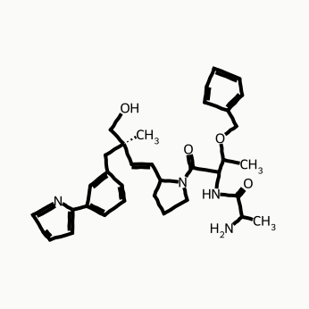 CC(N)C(=O)NC(C(=O)N1CCCC1/C=C/[C@](C)(CO)Cc1cccc(-c2ccccn2)c1)C(C)OCc1ccccc1